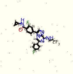 O=C(NC1CC1)c1ccc(-c2cnc3c(NCCC(F)(F)F)nc(-c4ccc(F)cc4)cn23)cc1F